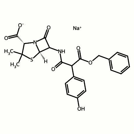 CC1(C)S[C@@H]2C(NC(=O)C(C(=O)OCc3ccccc3)c3ccc(O)cc3)C(=O)N2[C@H]1C(=O)[O-].[Na+]